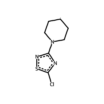 Clc1nc(N2CC[CH]CC2)ns1